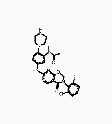 CC(=O)Nc1cc(Nc2ncc3c(n2)OCN(c2c(Cl)cccc2Cl)C3=O)ccc1N1CCNCC1